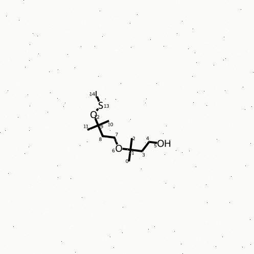 CC(C)(CCO)OCCC(C)(C)OSI